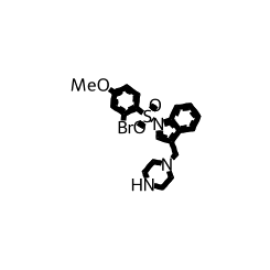 COc1ccc(S(=O)(=O)n2cc(CN3CCNCC3)c3ccccc32)c(Br)c1